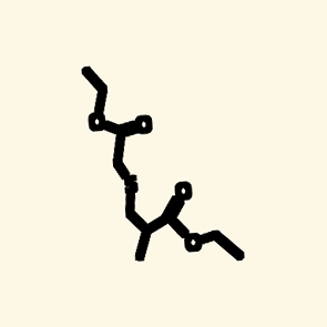 CCOC(=O)CSCC(C)C(=O)OCC